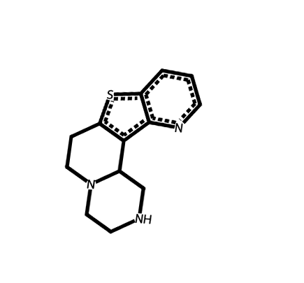 c1cnc2c3c(sc2c1)CCN1CCNCC31